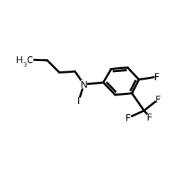 CCCCN(I)c1ccc(F)c(C(F)(F)F)c1